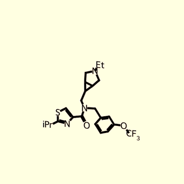 CCN1CC2C(C1)C2CN(Cc1cccc(OC(F)(F)F)c1)C(=O)c1csc(C(C)C)n1